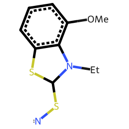 CCN1c2c(OC)cccc2SC1S[N]